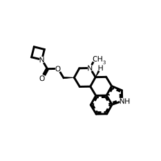 CN1C[C@H](COC(=O)N2CCC2)CC2c3cccc4[nH]cc(c34)C[C@H]21